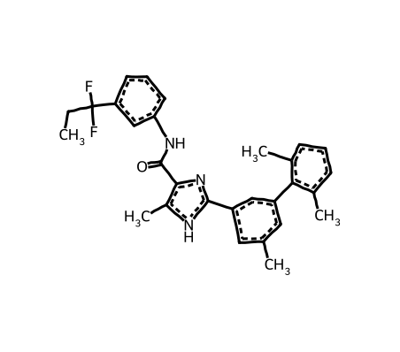 CCC(F)(F)c1cccc(NC(=O)c2nc(-c3cc(C)cc(-c4c(C)cccc4C)c3)[nH]c2C)c1